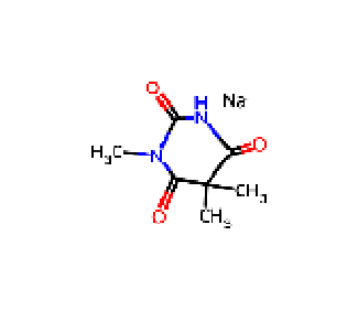 CN1C(=O)NC(=O)C(C)(C)C1=O.[Na]